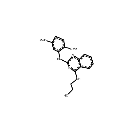 COc1ccc(OC)c(Nc2nc(NCCO)c3ccccc3n2)c1